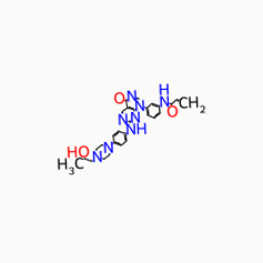 C=CC(=O)Nc1cccc(-n2cnc(=O)c3cnc(Nc4ccc(N5CCN(C[C@@H](C)O)CC5)cc4)nc32)c1